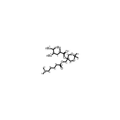 CCCCC(CCCC)C(CCCC)CC(C)C(=O)OC1(COC(=O)CCCCN(C)C)COC(C)(C)OC1